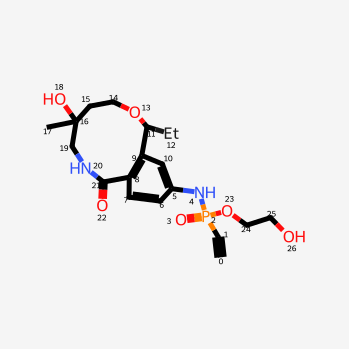 C#CP(=O)(Nc1ccc2c(c1)C(CC)OCCC(C)(O)CNC2=O)OCCO